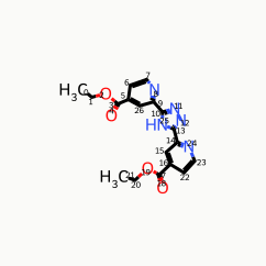 CCOC(=O)c1ccnc(-c2nnc(-c3cc(C(=O)OCC)ccn3)[nH]2)c1